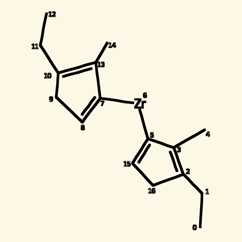 CCC1=C(C)[C]([Zr][C]2=CCC(CC)=C2C)=CC1